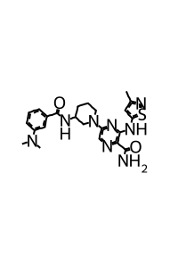 Cc1cc(Nc2nc(N3CCCC(NC(=O)c4cccc(N(C)C)c4)C3)cnc2C(N)=O)sn1